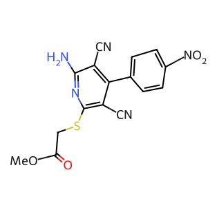 COC(=O)CSc1nc(N)c(C#N)c(-c2ccc([N+](=O)[O-])cc2)c1C#N